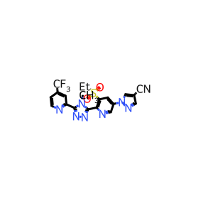 CCS(=O)(=O)c1cc(-n2cc(C#N)cn2)cnc1-c1nnc(-c2cc(C(F)(F)F)ccn2)n1C